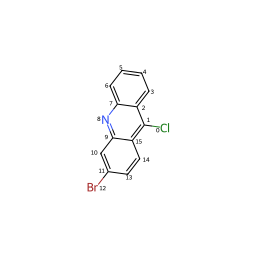 Clc1c2ccccc2nc2cc(Br)ccc12